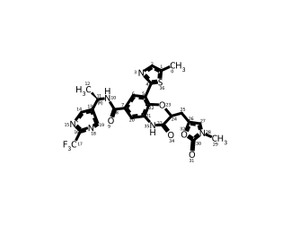 Cc1cnc(-c2cc(C(=O)N[C@H](C)c3cnc(C(F)(F)F)nc3)cc3c2OC(Cc2cn(C)c(=O)o2)C(=O)N3)s1